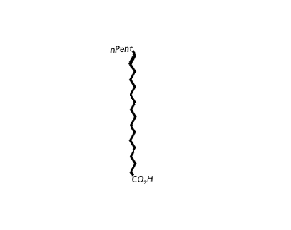 CCCCCC=CCCCCCCCCCCCCCCC(=O)O